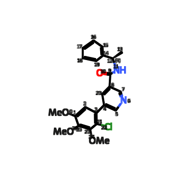 COc1cc(-c2cncc(C(=O)N[C@H](C)c3ccccc3)c2)c(Cl)c(OC)c1OC